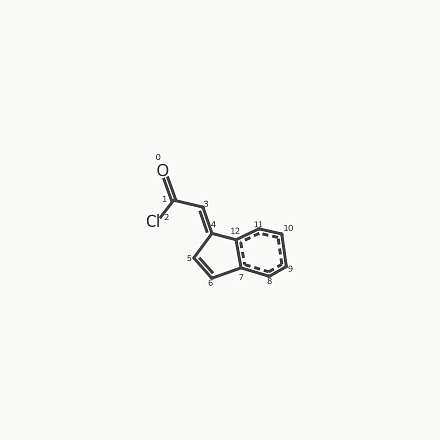 O=C(Cl)C=C1C=Cc2ccccc21